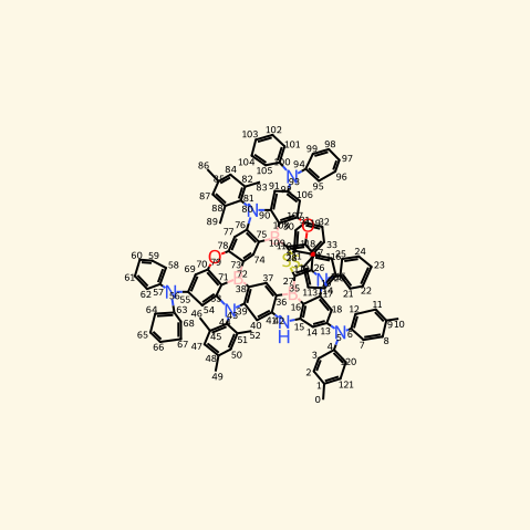 Cc1ccc(N(c2ccc(C)cc2)c2cc3c4c(c2)N(c2ccccc2)c2c(sc5ccccc25)B4c2cc4c(cc2N3)N(c2c(C)cc(C)cc2C)c2cc(N(c3ccccc3)c3ccccc3)cc3c2B4c2cc4c(cc2O3)N(c2c(C)cc(C)cc2C)c2cc(N(c3ccccc3)c3ccccc3)cc3c2B4c2sc4ccccc4c2O3)cc1